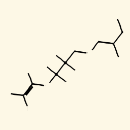 CCC(C)COCC(F)(F)C(F)(F)OC(F)=C(F)F